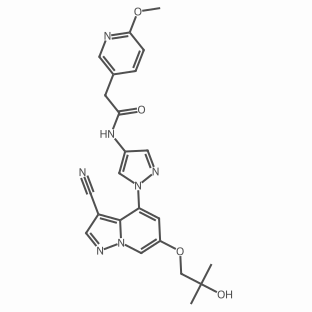 COc1ccc(CC(=O)Nc2cnn(-c3cc(OCC(C)(C)O)cn4ncc(C#N)c34)c2)cn1